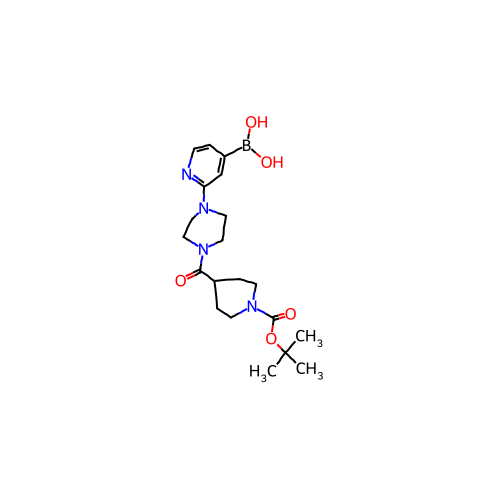 CC(C)(C)OC(=O)N1CCC(C(=O)N2CCN(c3cc(B(O)O)ccn3)CC2)CC1